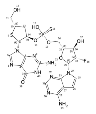 Nc1nc2c(ncn2[C@@H]2S[C@H](CO)C[C@H]2OP(O)(=S)OC[C@H]2O[C@@H](n3ccc4c(N)ncnc43)[C@@H](F)[C@@H]2O)c(=O)[nH]1